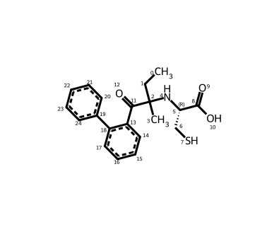 CCC(C)(N[C@@H](CS)C(=O)O)C(=O)c1ccccc1-c1ccccc1